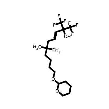 CC(C)(CC=CC(O)(C(F)(F)F)C(F)(F)F)CCCCOC1CCCCO1